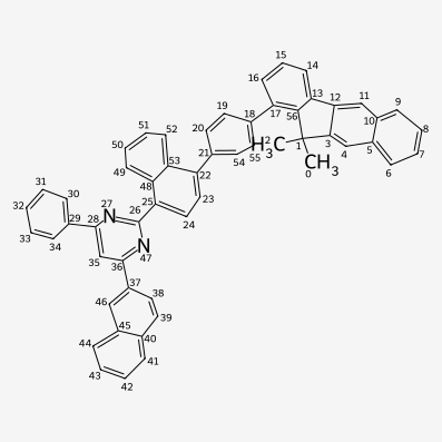 CC1(C)c2cc3ccccc3cc2-c2cccc(-c3ccc(-c4ccc(-c5nc(-c6ccccc6)cc(-c6ccc7ccccc7c6)n5)c5ccccc45)cc3)c21